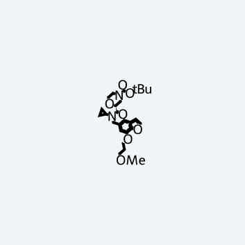 COCCCOc1cc(CN(C(=O)[C@H]2CN(C(=O)OC(C)(C)C)CCO2)C2CC2)cc2ccoc12